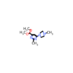 COC(OC)c1cc(N2CCN(C)CC2)nc(C)n1